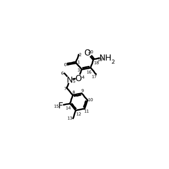 C=C(C)/C(ON(C)Cc1cccc(C)c1F)=C(/C)C(N)=O